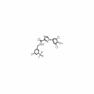 O=C(NCc1cc(F)cc(C(F)(F)F)c1)c1ncn(-c2cc(Cl)c(O)c(Cl)c2)n1